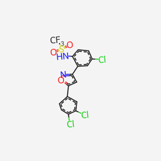 O=S(=O)(Nc1ccc(Cl)cc1-c1cc(-c2ccc(Cl)c(Cl)c2)on1)C(F)(F)F